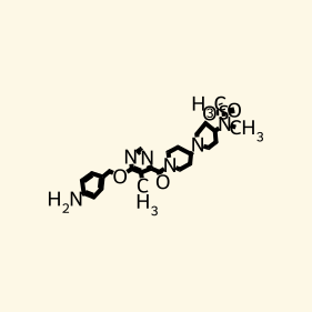 Cc1c(OCc2ccc(N)cc2)ncnc1C(=O)N1CCC(N2CCC(N(C)S(C)(=O)=O)CC2)CC1